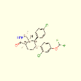 C[C@H]1NC(=O)[C@]2(C)CC[C@@H](c3ccc(OC(F)F)cc3Cl)[C@H](c3ccc(Cl)cc3)[C@H]12